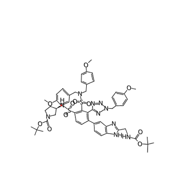 COc1ccc(CN(Cc2ccc(OC)cc2)S(=O)(=O)c2c(S(=O)(=O)N[C@@H]3CCN(C(=O)OC(C)(C)C)C3)ccc(-c3ccc4[nH]c(CNC(=O)OC(C)(C)C)nc4c3)c2-c2nnn(Cc3ccc(OC)cc3)n2)cc1